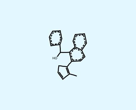 CC1=C(c2ccc3ccccc3c2C(O)c2ccccc2)CC=C1